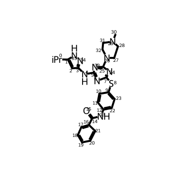 CC(C)c1cc(Nc2nc(Sc3ccc(NC(=O)c4ccccc4)cc3)nc(N3CCN(C)CC3)n2)n[nH]1